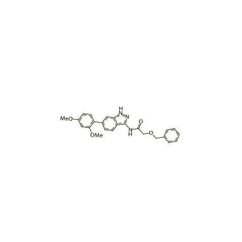 COc1ccc(-c2ccc3c(NC(=O)COCc4ccccc4)n[nH]c3c2)c(OC)c1